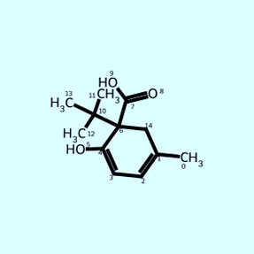 CC1=CC=C(O)C(C(=O)O)(C(C)(C)C)C1